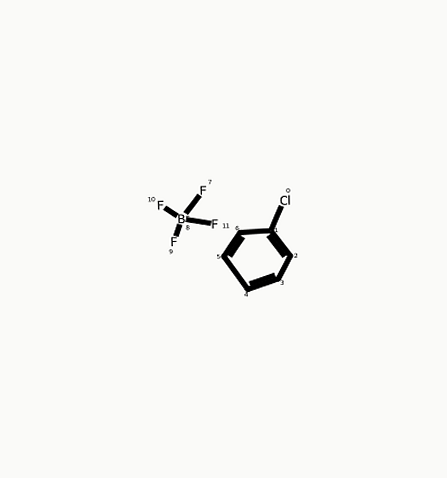 Clc1ccccc1.F[B-](F)(F)F